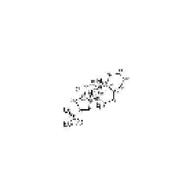 CCS(=O)(=O)C1C[C@H]2[C@@H]3CCC4CCCC[C@]4(C)[C@@H]3CC[C@]2(C)C1